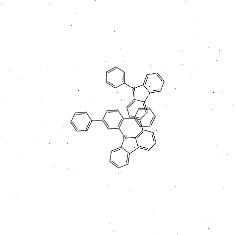 c1ccc(-c2ccc(-c3ccccc3)c(-n3c4ccccc4c4cccc(-c5ccc6c(c5)c5ccccc5n6-c5ccccc5)c43)c2)cc1